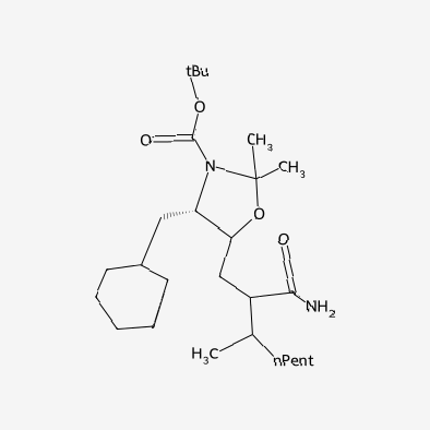 CCCCCC(C)C(CC1OC(C)(C)N(C(=O)OC(C)(C)C)[C@H]1CC1CCCCC1)C(N)=O